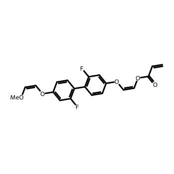 C=CC(=O)O/C=C\Oc1ccc(-c2ccc(O/C=C\OC)cc2F)c(F)c1